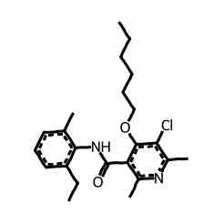 CCCCCCOc1c(Cl)c(C)nc(C)c1C(=O)Nc1c(C)cccc1CC